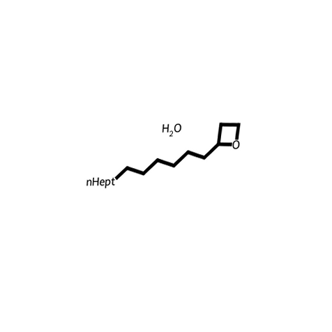 CCCCCCCCCCCCCC1CCO1.O